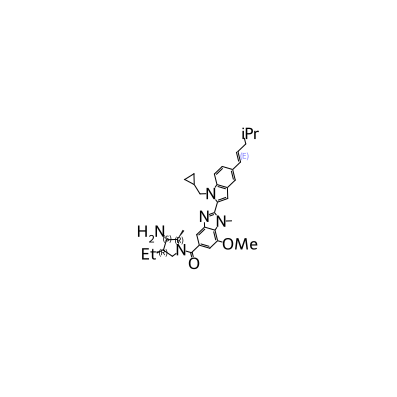 CC[C@@H]1CN(C(=O)c2cc(OC)c3c(c2)nc(-c2cc4cc(/C=C/CC(C)C)ccc4n2CC2CC2)n3C)[C@H](C)[C@H]1N